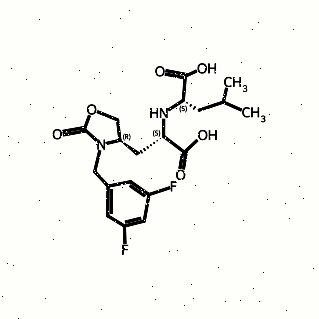 CC(C)C[C@H](N[C@@H](C[C@@H]1COC(=O)N1Cc1cc(F)cc(F)c1)C(=O)O)C(=O)O